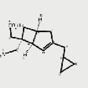 NC[C@]1(CC(=O)O)C[C@H]2CC(CC3CC3)=C[C@H]21